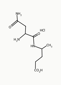 CC(CCC(=O)O)NC(=O)C(N)CC(N)=O.Cl